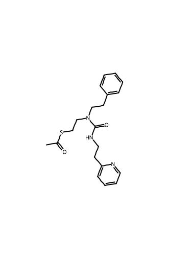 CC(=O)SCCN(CCc1ccccc1)C(=O)NCCc1ccccn1